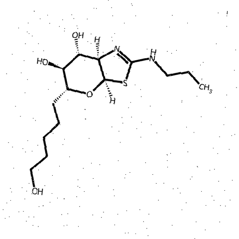 CCCNC1=N[C@@H]2[C@@H](O)[C@H](O)[C@@H](CCCCCO)O[C@@H]2S1